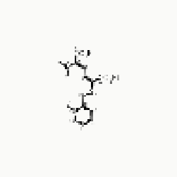 CCOC(=O)C(=CC=C(C(=O)OCC)N(C)C)SCc1ccccc1C